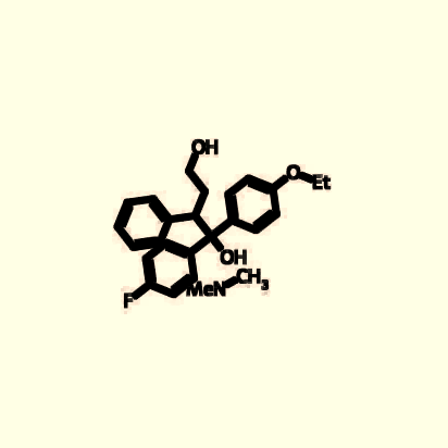 CCOc1ccc(C(O)(c2ccc(F)cc2)C(CCO)c2ccccc2)cc1.CNC